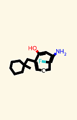 CC1(CC2=C/CC/C(F)=C(N)/C=C\2O)CCCCC1